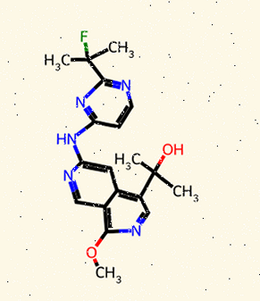 COc1ncc(C(C)(C)O)c2cc(Nc3ccnc(C(C)(C)F)n3)ncc12